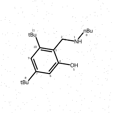 CCCCNCc1c(O)cc(C(C)(C)C)cc1C(C)(C)C